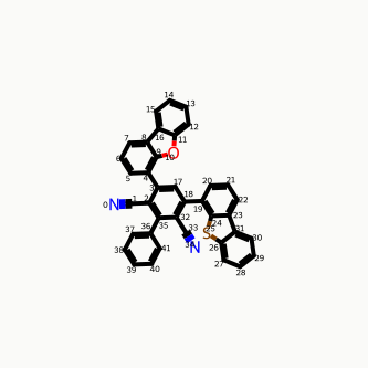 N#Cc1c(-c2cccc3c2oc2ccccc23)cc(-c2cccc3c2sc2ccccc23)c(C#N)c1-c1ccccc1